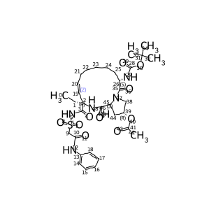 CC[C@]1(C(=O)NS(=O)(=O)CC(=O)Nc2ccccc2)/C=C\CCCCC[C@H](NC(=O)OC(C)(C)C)C(=O)N2C[C@H](OC(C)=O)C[C@H]2C(=O)N1